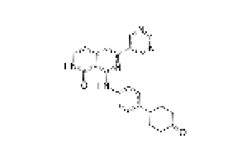 O=C1CCC(c2ccc(Nc3nc(-c4cncnc4)cc4cc[nH]c(=O)c34)cc2)CC1